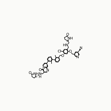 Cc1c(COc2cc(OCc3cncc(C#N)c3)c(CNC[C@H]3CCC(=O)N3)cc2Cl)cccc1-c1cccc(-c2ccn3c(=O)c(CNC[C@@H]4CCC(=O)N4)cnc3c2)c1C